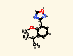 COc1c(-c2ncon2)cccc1C(C)C